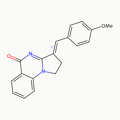 COc1ccc(/C=C2\CCn3c2nc(=O)c2ccccc23)cc1